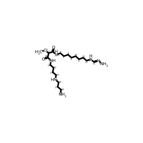 COC(C(=O)NCCCCCCCCNC=NN)C(=O)NCCCCNCCCN